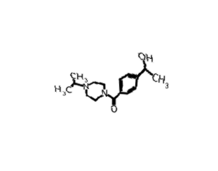 CC(O)c1ccc(C(=O)N2CCN(C(C)C)CC2)cc1